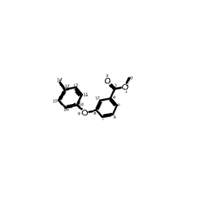 COC(=O)c1cccc(Oc2ccc(C)cc2)c1